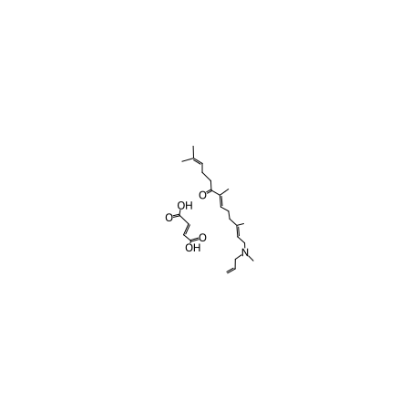 C=CCN(C)C/C=C(\C)CC/C=C(\C)C(=O)CCC=C(C)C.O=C(O)/C=C/C(=O)O